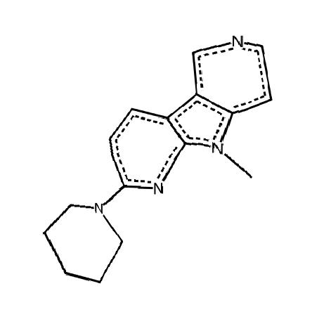 Cn1c2ccncc2c2ccc(N3CCCCC3)nc21